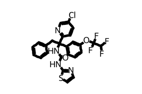 O=C(Nc1nccs1)NC(Cc1ccccc1)(c1cccc(OC(F)(F)C(F)F)c1)c1ccc(Cl)cn1